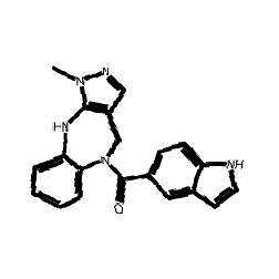 Cn1ncc2c1Nc1ccccc1N(C(=O)c1ccc3[nH]ccc3c1)C2